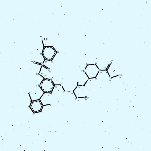 Cc1cccc(C)c1-c1cc(OC[C@@H](CC(C)(C)C)NC[C@@H]2CN(C(=O)OC(C)(C)C)CCO2)nc(NS(=O)(=O)c2cccc(C(=O)O)c2)n1